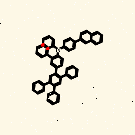 c1ccc(-c2cc(-c3ccccc3)c(-c3ccc(N(c4ccccc4)c4ccc(-c5ccc6ccccc6c5)cc4)c(-c4ccccc4)c3)cc2-c2ccccc2)cc1